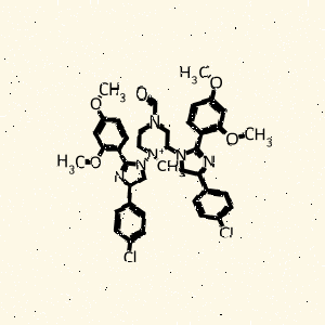 COc1ccc(C2=NC(c3ccc(Cl)cc3)CN2C2CN(C=O)CC[N+]2(C)N2CC(c3ccc(Cl)cc3)N=C2c2ccc(OC)cc2OC)c(OC)c1